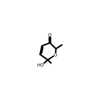 CC1OC(C)(O)C=CC1=O